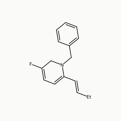 CCC=CC1=CC=C(F)CN1Cc1ccccc1